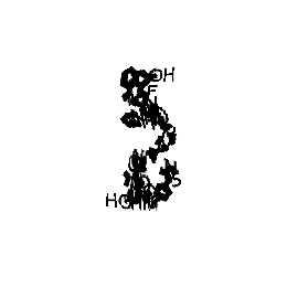 CCc1cccc2cc(O)cc(-c3ncc4c(N5CC6CCC(C5)N6)nc(OCCN5CCN(CC6CN(c7cc([C@H](C(=O)N8C[C@H](O)C[C@H]8C(=O)N[C@@H](C)c8ccc(-c9scnc9C)cc8)C(C)C)on7)C6)CC5)nc4c3F)c12